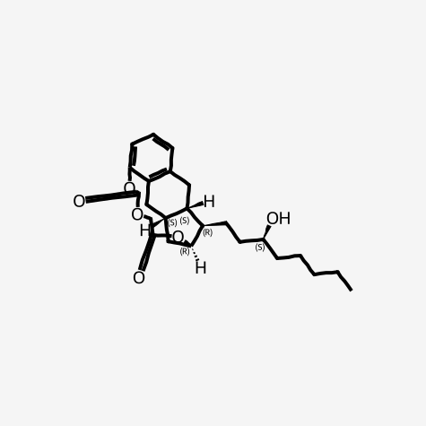 CCCCC[C@H](O)CC[C@@H]1[C@H]2Cc3cccc4c3C[C@H]2C[C@H]1OC(=O)COC(=O)O4